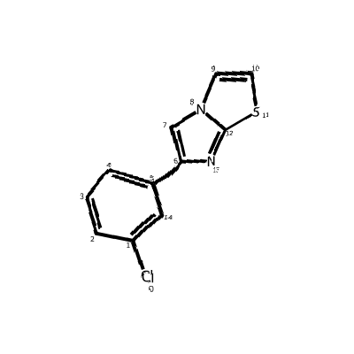 Clc1cccc(-c2cn3ccsc3n2)c1